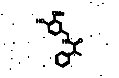 COc1cc(CNC(=O)C(C)c2ccccc2)ccc1O